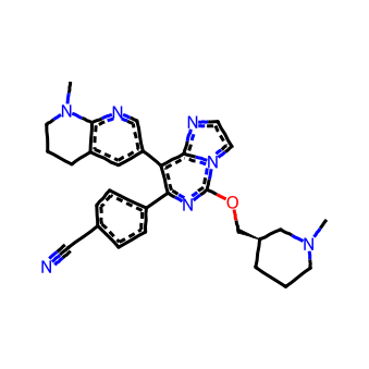 CN1CCC[C@@H](COc2nc(-c3ccc(C#N)cc3)c(-c3cnc4c(c3)CCCN4C)c3nccn23)C1